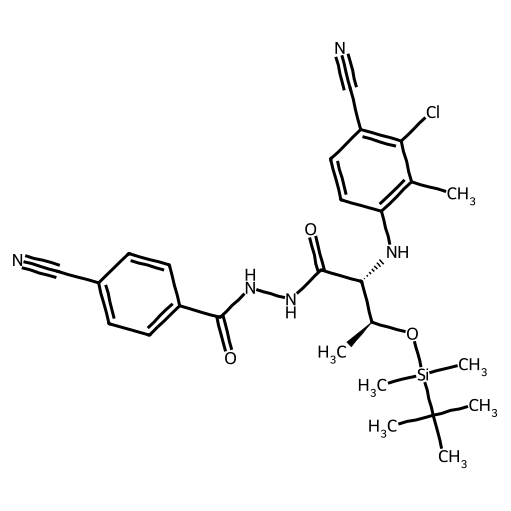 Cc1c(N[C@@H](C(=O)NNC(=O)c2ccc(C#N)cc2)[C@H](C)O[Si](C)(C)C(C)(C)C)ccc(C#N)c1Cl